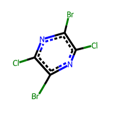 Clc1nc(Br)c(Cl)nc1Br